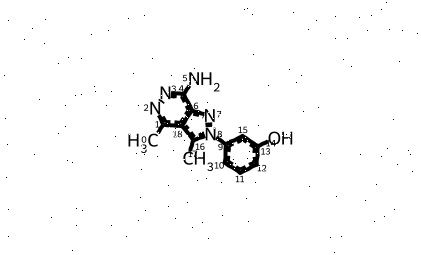 Cc1nnc(N)c2nn(-c3cccc(O)c3)c(C)c12